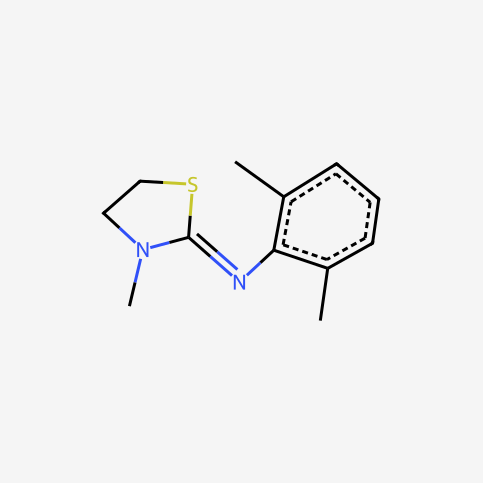 Cc1cccc(C)c1N=C1SCCN1C